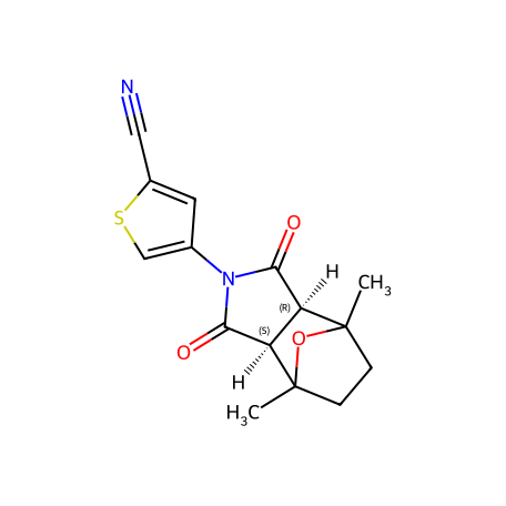 CC12CCC(C)(O1)[C@H]1C(=O)N(c3csc(C#N)c3)C(=O)[C@H]12